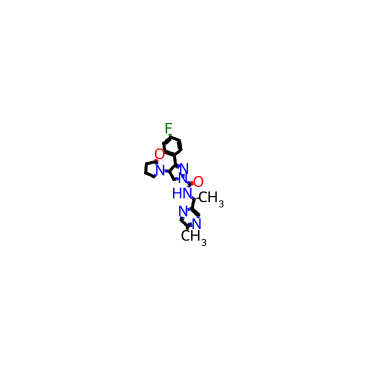 Cc1cnc([C@@H](C)NC(=O)N2CC(N3CCCC3=O)C(c3ccc(F)cc3)=N2)cn1